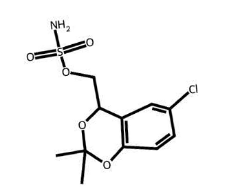 CC1(C)Oc2ccc(Cl)cc2C(COS(N)(=O)=O)O1